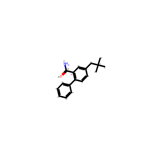 CC(C)(C)Cc1ccc(-c2ccccc2)c(C(N)=O)c1